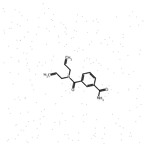 C=CCN(CC=C)C(=O)c1cccc(C(N)=O)c1